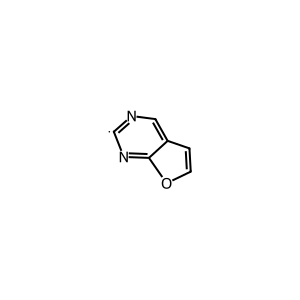 [c]1ncc2ccoc2n1